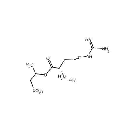 CC(CC(=O)O)OC(=O)[C@@H](N)CCCNC(=N)N.[LiH]